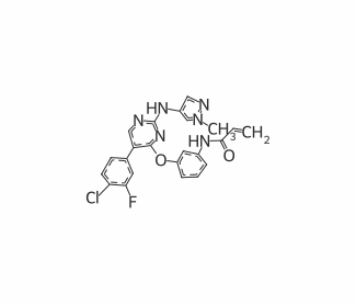 C=CC(=O)Nc1cccc(Oc2nc(Nc3cnn(C)c3)ncc2-c2ccc(Cl)c(F)c2)c1